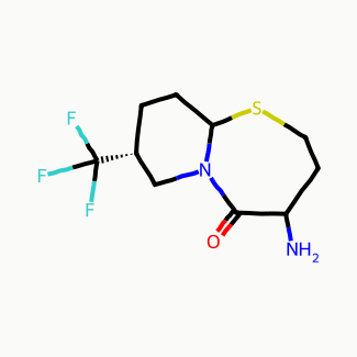 NC1CCSC2CC[C@@H](C(F)(F)F)CN2C1=O